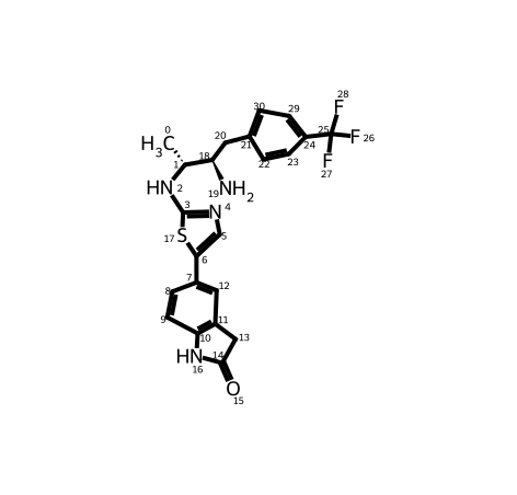 C[C@@H](Nc1ncc(-c2ccc3c(c2)CC(=O)N3)s1)[C@H](N)Cc1ccc(C(F)(F)F)cc1